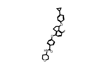 O=C(NC1CCOCC1)c1ccc(Oc2ccc(F)c3c2CCC3Oc2ccc(C3CC3)cc2)cc1